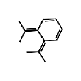 CC(C)=c1ccccc1=C(C)C